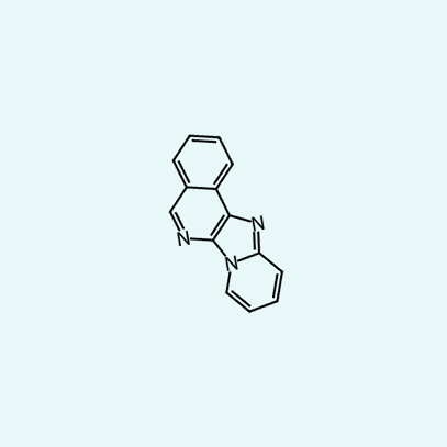 c1ccc2c(c1)cnc1c2nc2ccccn21